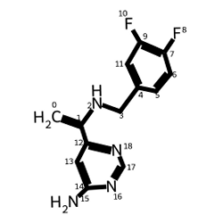 C=C(NCc1ccc(F)c(F)c1)c1cc(N)ncn1